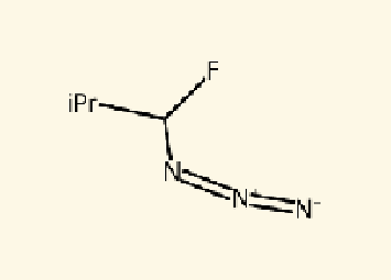 CC(C)C(F)N=[N+]=[N-]